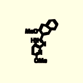 COc1ccc2[nH]c(-c3cc4ccccc4cc3OC)nc2n1